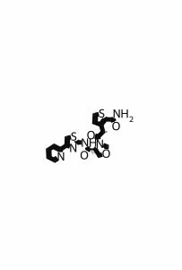 NC(=O)c1sccc1[CH]C(=O)N1COC[C@H]1C(=O)Nc1nc(-c2ccccn2)cs1